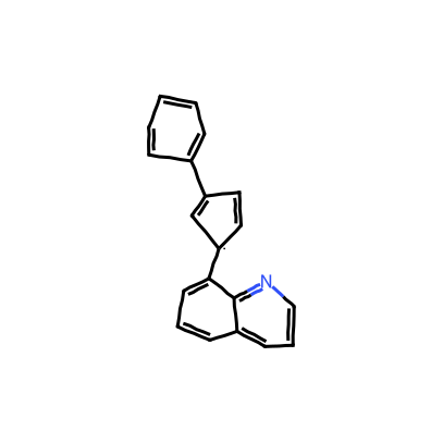 C1=CC(c2ccccc2)=C[C]1c1cccc2cccnc12